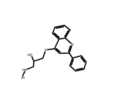 CC(C)NCC(O)COc1cc(-c2ccccc2)nc2ccccc12